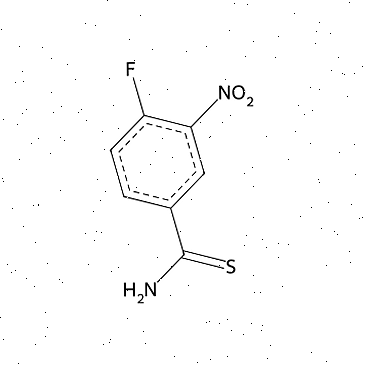 NC(=S)c1ccc(F)c([N+](=O)[O-])c1